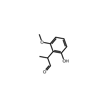 COc1cccc(O)c1C(C)C=O